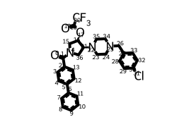 O=C(c1ccc(-c2ccccc2)cc1)N1C[C@H](OC(=O)C(F)(F)F)[C@@H](N2CCN(Cc3ccc(Cl)cc3)CC2)C1